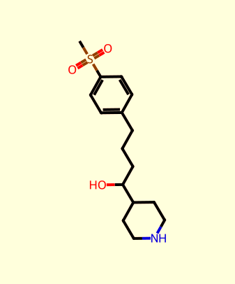 CS(=O)(=O)c1ccc(CCCC(O)C2CCNCC2)cc1